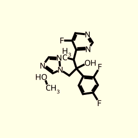 CC(c1ncncc1F)C(O)(Cn1cncn1)c1ccc(F)cc1F.CO